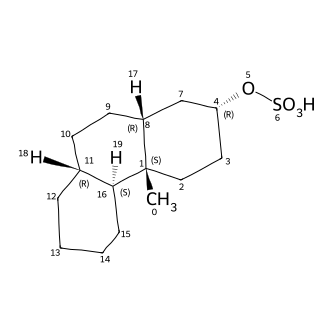 C[C@]12CC[C@@H](OS(=O)(=O)O)C[C@H]1CC[C@H]1CCCC[C@@H]12